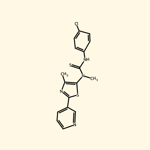 Cc1nc(-c2cccnc2)sc1N(C)C(=S)Nc1ccc(Cl)cc1